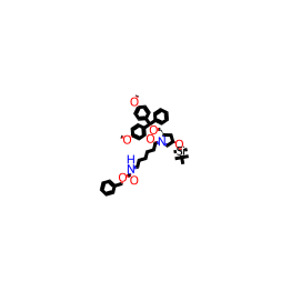 COc1ccc(C(OC[C@@H]2C[C@@H](O[Si](C)(C)C(C)(C)C)CN2C(=O)CCCCCNC(=O)OCc2ccccc2)(c2ccccc2)c2ccc(OC)cc2)cc1